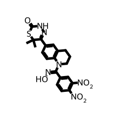 CC1(C)SC(=O)NN=C1c1ccc2c(c1)CCCN2C(=NO)c1ccc([N+](=O)[O-])c([N+](=O)[O-])c1